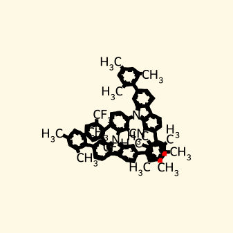 Cc1cc(C)c(-c2ccc3c4ccc(-c5c(C)cc(C)cc5C)cc4n(-c4ccc(-c5c(C(F)(F)F)cccc5C(F)(F)F)c(-n5c6cc(-c7c(C)cc(C)cc7C)ccc6c6ccc(-c7c(C)cc(C)cc7C)cc65)c4C#N)c3c2)c(C)c1